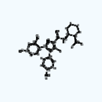 Cc1c(C(=O)N[C@H]2CCCC[C@H]2N(C)C)nc(-c2ccc(Cl)cc2Cl)n1-c1ccc(O)cc1